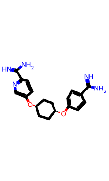 N=C(N)c1ccc(O[C@H]2CC[C@H](Oc3ccc(C(=N)N)nc3)CC2)cc1